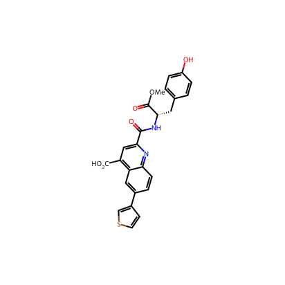 COC(=O)[C@H](Cc1ccc(O)cc1)NC(=O)c1cc(C(=O)O)c2cc(-c3ccsc3)ccc2n1